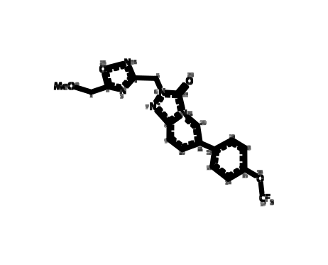 COCc1nc(Cn2nc3ccc(-c4ccc(OC(F)(F)F)cc4)cn3c2=O)no1